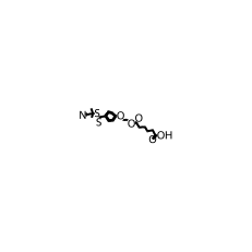 CC(C)(C#N)SC(=S)c1ccc(OCCOC(=O)CCCCC(=O)O)cc1